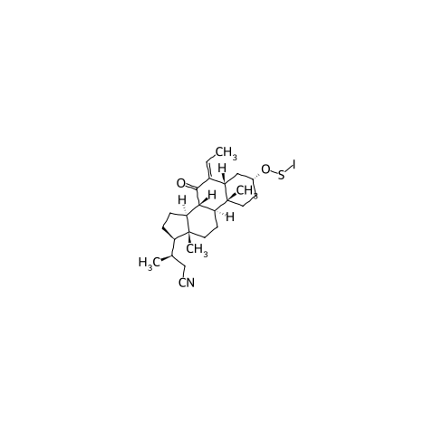 C/C=C1/C(=O)[C@@H]2[C@H](CC[C@]3(C)[C@@H]([C@H](C)CC#N)CC[C@@H]23)[C@@]2(C)CC[C@@H](OSI)C[C@@H]12